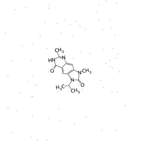 Cc1nc2cc3c(cc2c(=O)[nH]1)n(C(C)C)c(=O)n3C